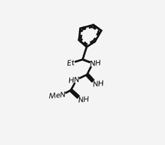 CCC(NC(=N)NC(=N)NC)c1ccccc1